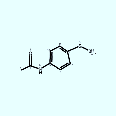 BSc1ccc(NC(C)=O)cc1